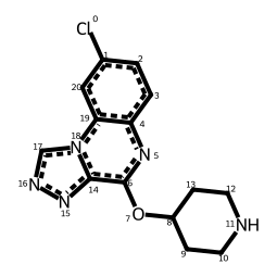 Clc1ccc2nc(OC3CCNCC3)c3nncn3c2c1